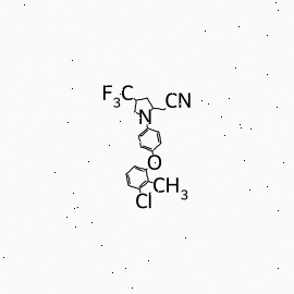 Cc1c(Cl)cccc1Oc1ccc(N2CC(C(F)(F)F)CC2CC#N)cc1